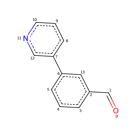 O=Cc1cccc(-c2cccnc2)c1